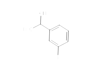 C[C](C)c1cccc(I)c1